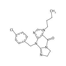 CCCCn1cnc2c1C(=O)N1CCN=C1N2Cc1ccc(Cl)cc1